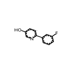 Oc1c[c]c(-c2cccc(F)c2)nc1